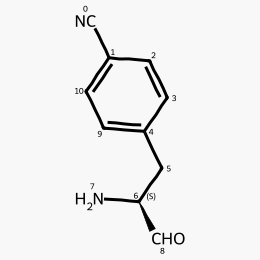 N#Cc1ccc(C[C@H](N)C=O)cc1